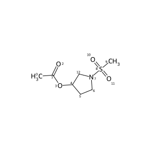 CC(=O)OC1CCN(S(C)(=O)=O)C1